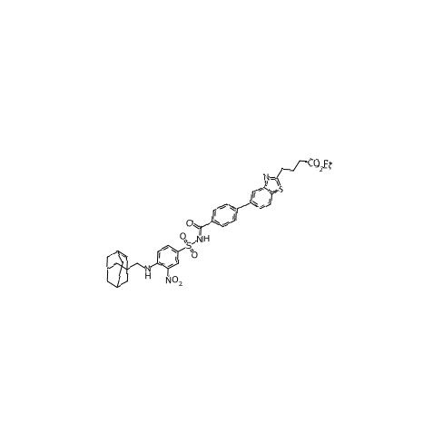 CCOC(=O)CCCc1nc2cc(-c3ccc(C(=O)NS(=O)(=O)c4ccc(NCC56CC7CC(CC(C7)C5)C6)c([N+](=O)[O-])c4)cc3)ccc2s1